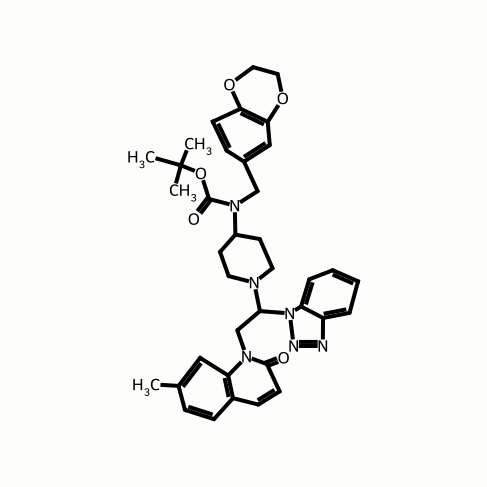 Cc1ccc2ccc(=O)n(CC(N3CCC(N(Cc4ccc5c(c4)OCCO5)C(=O)OC(C)(C)C)CC3)n3nnc4ccccc43)c2c1